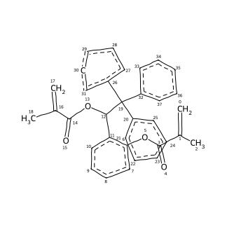 C=C(C)C(=O)Oc1ccccc1C(OC(=O)C(=C)C)C(c1ccccc1)(c1ccccc1)c1ccccc1